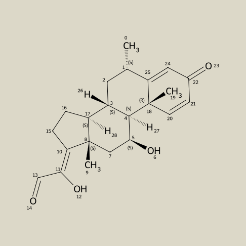 C[C@H]1C[C@@H]2[C@H]([C@@H](O)C[C@]3(C)C(=C(O)C=O)CC[C@@H]23)[C@@]2(C)C=CC(=O)C=C12